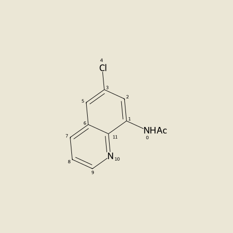 CC(=O)Nc1cc(Cl)cc2cccnc12